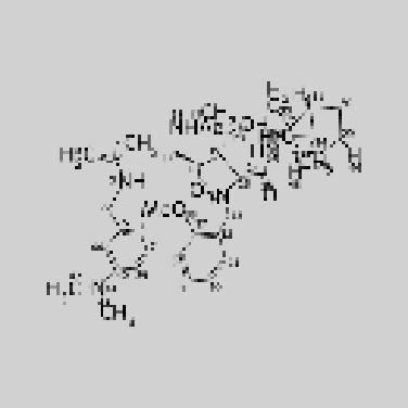 C=C(C)NCc1cc(-c2cccc(CN3O[C@@H](CNC(C)=O)[C@H]([C@H](C)O)[C@H]3C(=O)N[C@H]3C[C@H]4C[C@@H]([C@@H]3C)C4(C)C)c2OC)cc(N(C)C)c1